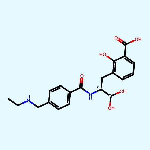 CCNCc1ccc(C(=O)N[C@@H](Cc2cccc(C(=O)O)c2O)B(O)O)cc1